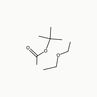 CC(=O)OC(C)(C)C.CCOCC